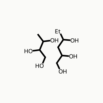 CC(O)C(O)CO.CCC(O)CC(O)CO